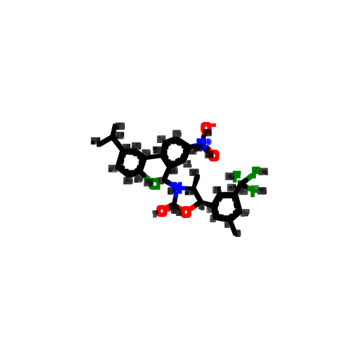 Cc1cc([C@H]2OC(=O)N(Cc3cc([N+](=O)[O-])ccc3-c3cc(C(C)C)ccc3Cl)[C@H]2C)cc(C(F)(F)F)c1